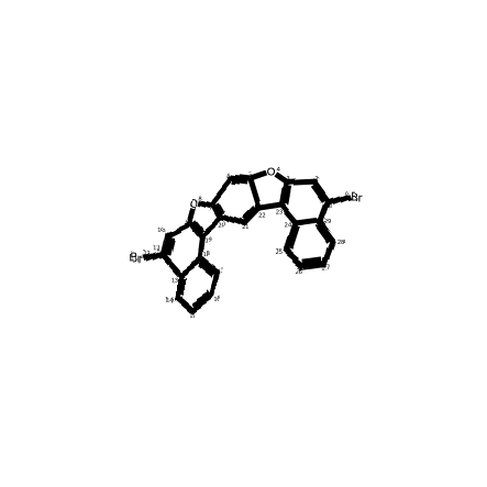 Brc1cc2oc3cc4oc5cc(Br)c6ccccc6c5c4cc3c2c2ccccc12